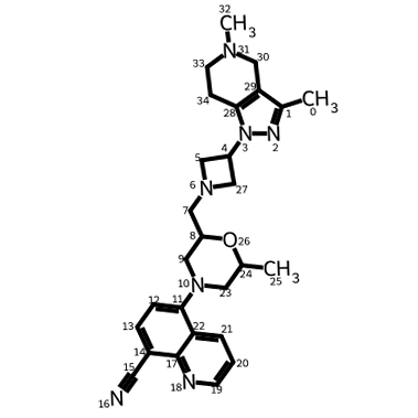 Cc1nn(C2CN(CC3CN(c4ccc(C#N)c5ncccc45)CC(C)O3)C2)c2c1CN(C)CC2